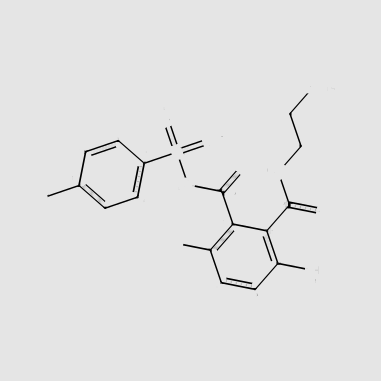 CCCCCCCCCCCCOC(=O)c1c(O)ccc(O)c1C(=O)OS(=O)(=O)c1ccc(C)cc1